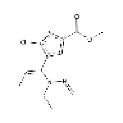 C=NN(CC)C(=CC)c1cc(C(=O)OC)sc1Cl